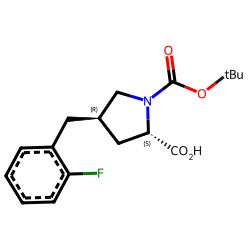 CC(C)(C)OC(=O)N1C[C@H](Cc2ccccc2F)C[C@H]1C(=O)O